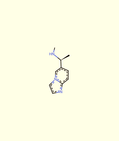 CN[C@@H](C)c1ccc2nccn2c1